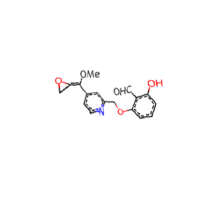 CO/C(=C1/CO1)c1ccnc(COc2cccc(O)c2C=O)c1